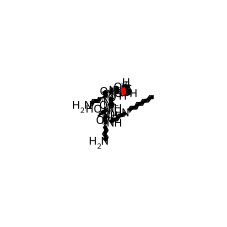 CCCCCCCCCNCCCC(=O)N[C@@H](CCCCN)C(=O)N[C@H](C(=O)N[C@@H](C)C(=O)N[C@@H](CCCCN)C(=O)N[C@@H](C)B1O[C@@H]2C[C@@H]3C[C@@H](C3(C)C)[C@]2(C)O1)[C@@H](C)O